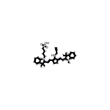 C#CCNC1=C(/C=C/C2=[N+](CCCCS(=O)(=O)O)c3ccccc3C2(C)C)CC/C1=C\C=C1\N(C)c2ccccc2C1(C)C